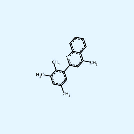 Cc1cc(C)c(C)c(-c2cc(C)c3ccccc3n2)c1